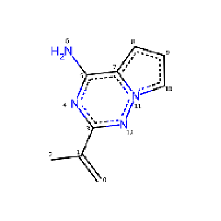 C=C(C)c1nc(N)c2cccn2n1